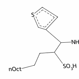 CCCCCCCCCCC(C(N)c1ccsc1)S(=O)(=O)O